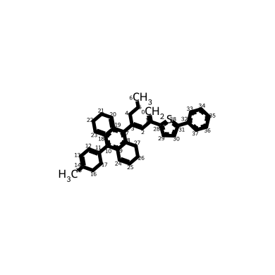 C=C(/C=C(\CCC)c1c2c(c(C3=CC=C(C)CC3)c3c1=CCCC=3)C=CCC2)c1ccc(-c2ccccc2)s1